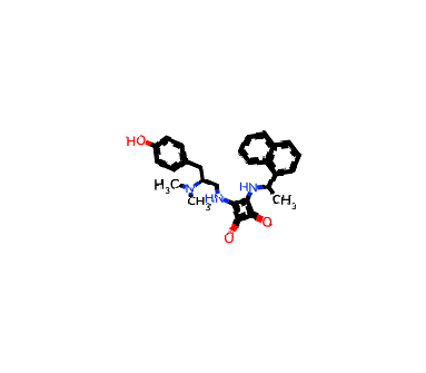 CC(Nc1c(NCC(Cc2ccc(O)cc2)N(C)C)c(=O)c1=O)c1cccc2ccccc12